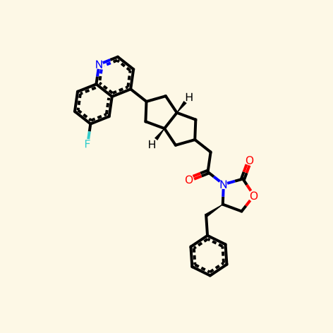 O=C(CC1C[C@@H]2CC(c3ccnc4ccc(F)cc34)C[C@@H]2C1)N1C(=O)OC[C@H]1Cc1ccccc1